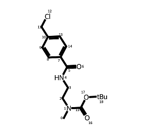 CN(CCNC(=O)c1ccc(CCl)cc1)C(=O)OC(C)(C)C